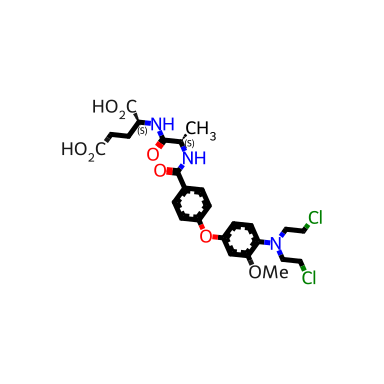 COc1cc(Oc2ccc(C(=O)N[C@@H](C)C(=O)N[C@@H](CCC(=O)O)C(=O)O)cc2)ccc1N(CCCl)CCCl